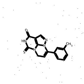 Cc1cccc(C2=CCn3c(=S)[nH]c(=O)c4cnn2c43)c1